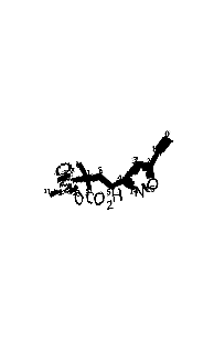 C#Cc1cc(CCC(C)(C(=O)O)S(C)(=O)=O)no1